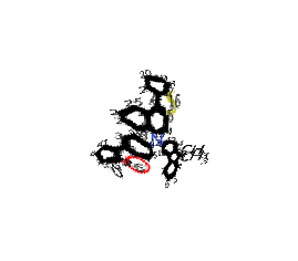 CC1(C)c2ccccc2-c2cc(N(C3=Cc4sc5ccccc5c4C4C=CC=CC34)c3ccc4c(c3)oc3ccccc34)ccc21